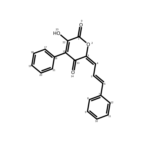 O=C1OC(=CC=Cc2ccccc2)C(=O)C(c2ccccc2)=C1O